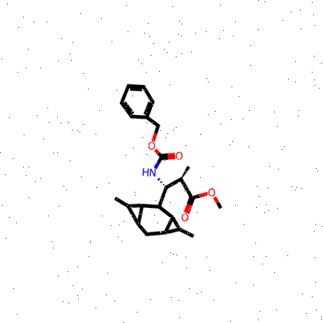 COC(=O)[C@H](C)[C@@H](NC(=O)OCc1ccccc1)C1C2C(C)C2CC2C(C)C21